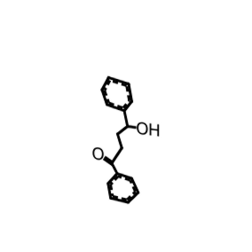 O=C(CCC(O)c1ccccc1)c1ccccc1